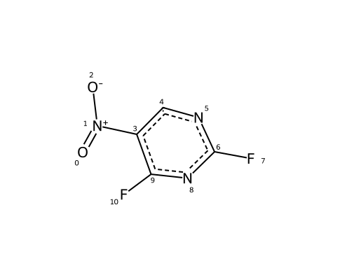 O=[N+]([O-])c1[c]nc(F)nc1F